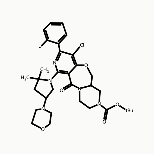 CC(C)(C)OC(=O)N1CCN2C(=O)c3c(N4CC(N5CCOCC5)CC4(C)C)nc(-c4ccccc4F)c(Cl)c3OCC2C1